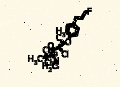 C=NN(C(=O)/C(Cl)=C(\C)Oc1ccc(CCCF)cc1)C(C)(C)C